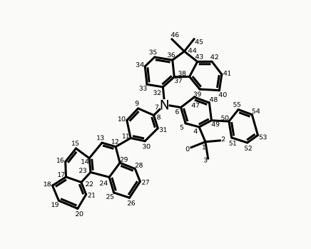 CC(C)(C)c1cc(N(c2ccc(-c3cc4ccc5ccccc5c4c4ccccc34)cc2)c2cccc3c2-c2ccccc2C3(C)C)ccc1-c1ccccc1